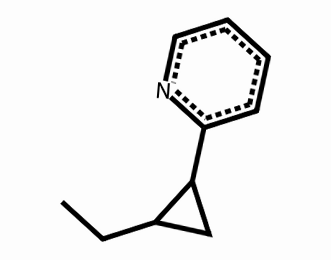 CCC1CC1c1ccccn1